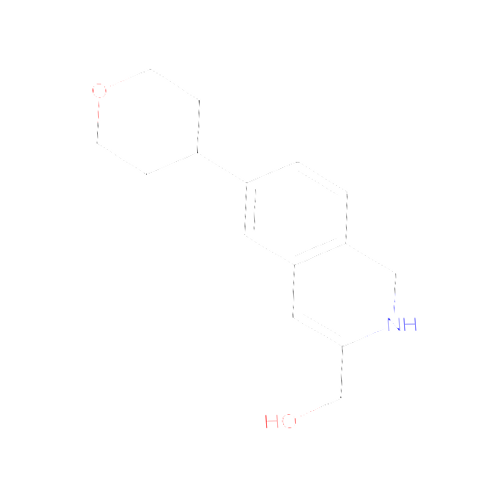 OCC1=Cc2cc(C3CCOCC3)ccc2CN1